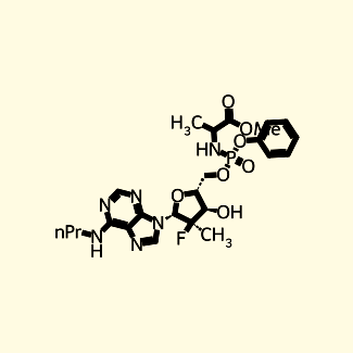 CCCNc1ncnc2c1ncn2[C@@H]1O[C@H](COP(=O)(NC(C)C(=O)OC)Oc2ccccc2)[C@@H](O)[C@@]1(C)F